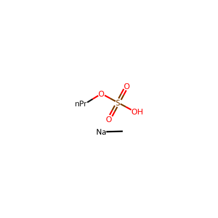 CCCOS(=O)(=O)O.[CH3][Na]